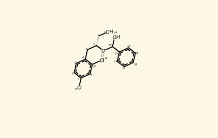 OC[C@@H](Cc1ccc(Cl)cc1Cl)OC(O)c1ccccc1